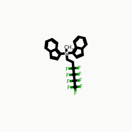 C[Si](CCC(F)(F)C(F)(F)C(F)(F)C(F)(F)F)(C1=C2C=CC=CC2C=C1)C1=C2C=CC=CC2C=C1